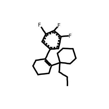 CCCC1(C2=C(c3cc(F)c(F)c(F)c3)CCCC2)CCCCC1